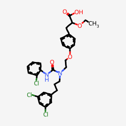 CCOC(Cc1ccc(OCCN(CCCc2cc(Cl)cc(Cl)c2)C(=O)Nc2ccccc2Cl)cc1)C(=O)O